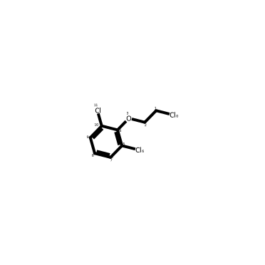 ClCCOc1c(Cl)[c]ccc1Cl